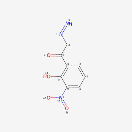 N=NCC(=O)c1cccc([N+](=O)[O-])c1O